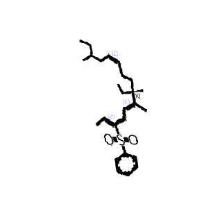 C/C=C(/C/C=C(\C)[C@](C)(CC)CC/C=C\CC(C)CC)S(=O)(=O)c1ccccc1